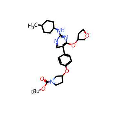 CC1CCC(Nc2ncc(-c3ccc(OC4CCN(C(=O)OC(C)(C)C)C4)cc3)c(OC3CCOC3)n2)CC1